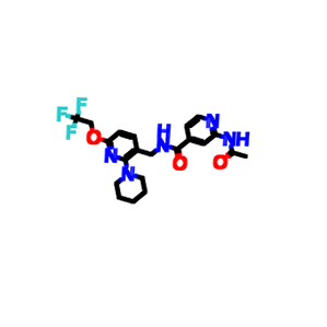 CC(=O)Nc1cc(C(=O)NCc2ccc(OCC(F)(F)F)nc2N2CCCCC2)ccn1